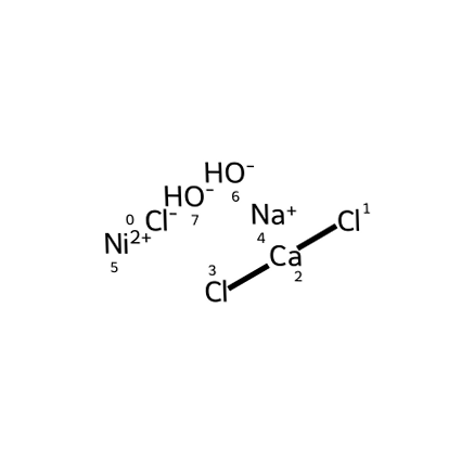 [Cl-].[Cl][Ca][Cl].[Na+].[Ni+2].[OH-].[OH-]